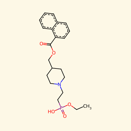 CCOP(=O)(O)CCN1CCC(COC(=O)c2cccc3ccccc23)CC1